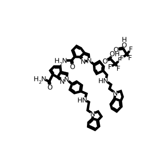 NC(=O)c1cccc2cn(-c3ccc(CNCCN4CCc5ccccc54)cc3)nc12.NC(=O)c1cccc2cn(-c3ccc(CNCCN4CCc5ccccc54)cc3)nc12.O=C(O)C(F)(F)F.O=C(O)C(F)(F)F